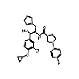 O=C(N[C@H](CN1CCCC1)[C@H](O)c1ccc(OC2CC2)c(Cl)c1)C1CCN(c2ccc(F)cc2)C1